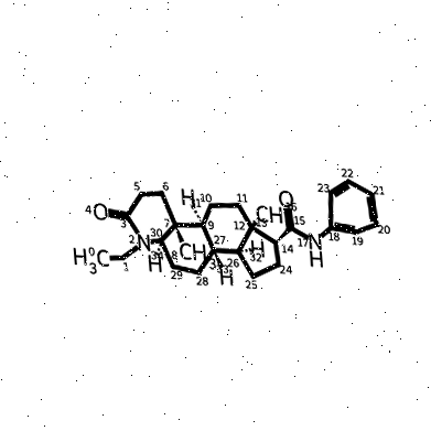 CCN1C(=O)CC[C@]2(C)[C@H]3CC[C@]4(C)[C@@H](C(=O)Nc5ccccc5)CC[C@H]4[C@@H]3CC[C@@H]12